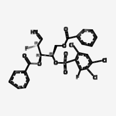 N=C[C@@H](F)[C@H](OC(=O)c1ccccc1)[C@@H](COC(=O)c1ccccc1)OS(=O)(=O)c1c(Cl)cc(Cl)c(Cl)c1F